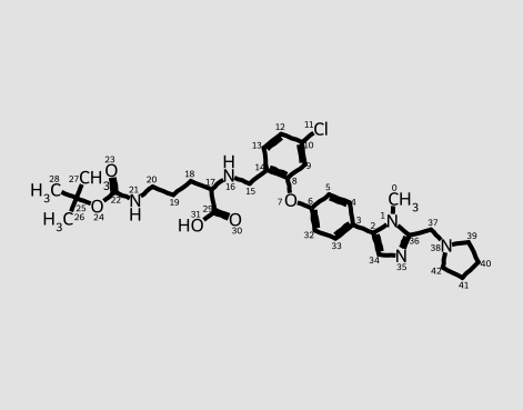 Cn1c(-c2ccc(Oc3cc(Cl)ccc3CNC(CCCNC(=O)OC(C)(C)C)C(=O)O)cc2)cnc1CN1CCCC1